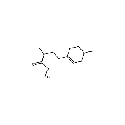 CN1CC=C(CCN(C)C(=O)OC(C)(C)C)CC1